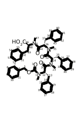 CN(C(=O)OCc1ccccc1)[C@@H](Cc1ccccc1)C(=O)N(C)[C@@H](Cc1ccccc1)C(=O)N(C)[C@@H](Cc1ccccc1)C(=O)N(C)[C@@H](Cc1ccccc1)C(=O)O